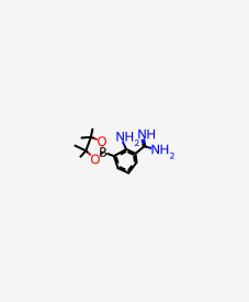 CC1(C)OB(c2cccc(C(=N)N)c2N)OC1(C)C